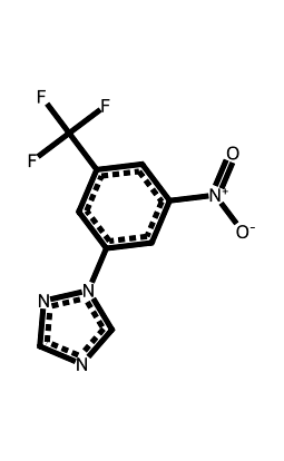 O=[N+]([O-])c1cc(-n2cncn2)cc(C(F)(F)F)c1